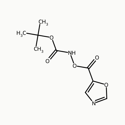 CC(C)(C)OC(=O)NOC(=O)c1cnco1